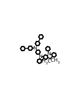 CC1(C)c2ccccc2N(c2ccccc2)c2cc3c(cc21)c1ccccc1n3-c1ccc(N(c2ccc(-c3ccccc3)cc2)c2ccc(-c3ccccc3)cc2)cc1